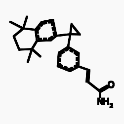 CC1(C)CCC(C)(C)c2cc(C3(c4cccc(C=CC(N)=O)c4)CC3)ccc21